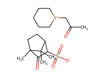 CC(=O)C[S+]1CCCCC1.CC12CCC(C(S(=O)(=O)[O-])C1=O)C2(C)C